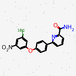 NC(=O)c1cccc(-c2ccc(Oc3cc([18F])cc([N+](=O)[O-])c3)cc2)n1